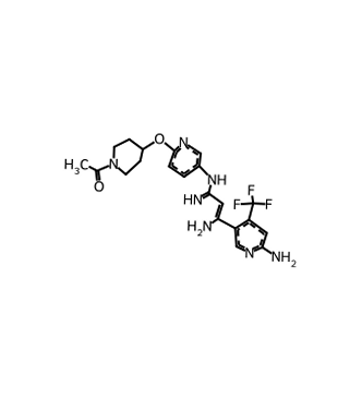 CC(=O)N1CCC(Oc2ccc(NC(=N)/C=C(\N)c3cnc(N)cc3C(F)(F)F)cn2)CC1